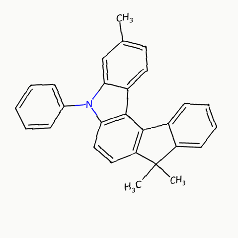 Cc1ccc2c3c4c(ccc3n(-c3ccccc3)c2c1)C(C)(C)c1ccccc1-4